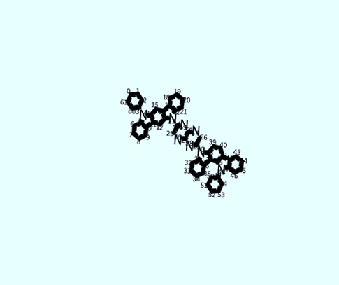 c1ccc(-n2c3ccccc3c3cc4c(cc32)c2ccccc2n4-c2cnc3nc(-n4c5ccccc5c5c4ccc4c6ccccc6n(-c6ccccc6)c45)cnc3n2)cc1